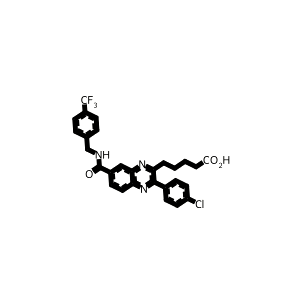 O=C(O)CCCCc1nc2cc(C(=O)NCc3ccc(C(F)(F)F)cc3)ccc2nc1-c1ccc(Cl)cc1